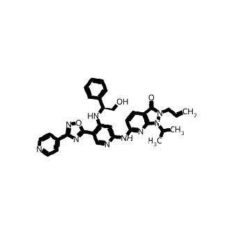 C=CCn1c(=O)c2ccc(Nc3cc(N[C@H](CO)c4ccccc4)c(-c4nc(-c5ccncc5)no4)cn3)nc2n1C(C)C